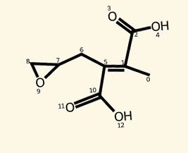 C/C(C(=O)O)=C(/CC1CO1)C(=O)O